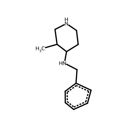 CC1CNCCC1NCc1ccccc1